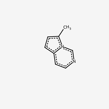 Cc1ccc2ccncn12